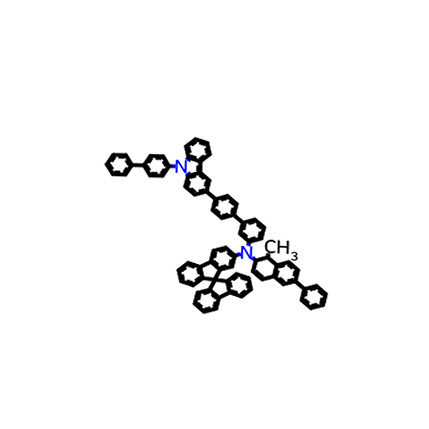 CC1c2ccc(-c3ccccc3)cc2C=CC1N(c1cccc(-c2ccc(-c3ccc4c(c3)c3ccccc3n4-c3ccc(-c4ccccc4)cc3)cc2)c1)c1ccc2c(c1)C1(c3ccccc3-c3ccccc31)c1ccccc1-2